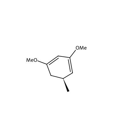 COC1=C[C@@H](C)CC(OC)=C1